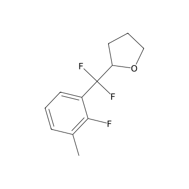 Cc1cccc(C(F)(F)C2CCCO2)c1F